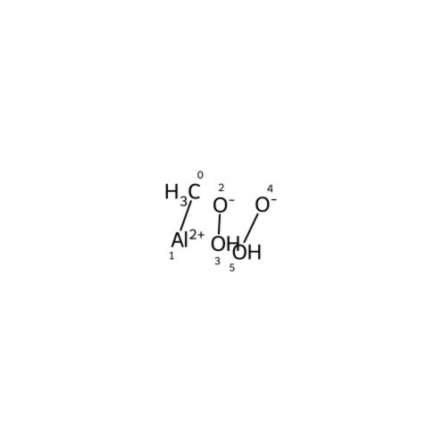 [CH3][Al+2].[O-]O.[O-]O